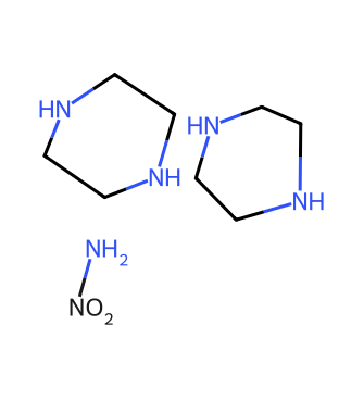 C1CNCCN1.C1CNCCN1.N[N+](=O)[O-]